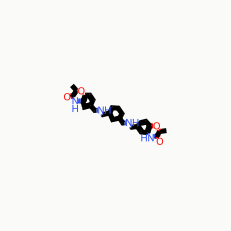 CC1Oc2ccc(CNCC3CCCC(CNCc4ccc5c(c4)NC(=O)C(C)O5)C3)cc2NC1=O